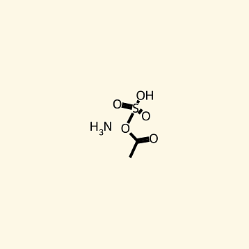 CC(=O)OS(=O)(=O)O.N